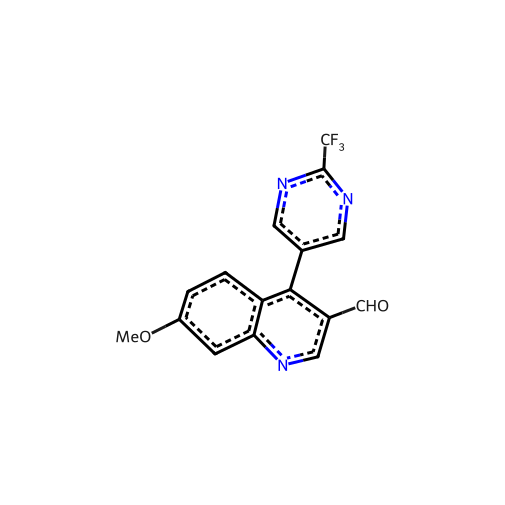 COc1ccc2c(-c3cnc(C(F)(F)F)nc3)c(C=O)cnc2c1